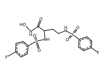 O=C(NO)C(CCNS(=O)(=O)c1ccc(F)cc1)NS(=O)(=O)c1ccc(F)cc1